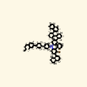 C=C/C=C\c1ccc(-c2ccc(-c3ccc(N(c4ccc(-c5ccccc5-c5ccccc5-c5cccc6ccccc56)cc4)c4ccc(-c5cccc6ccccc56)c5sc6ccccc6c45)cc3)cc2)cc1C